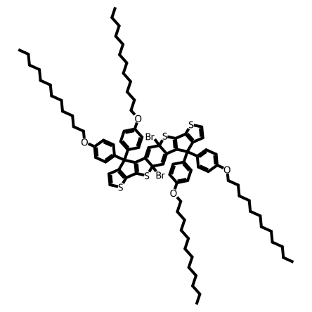 CCCCCCCCCCCCOc1ccc(C2(c3ccc(OCCCCCCCCCCCC)cc3)C3=C(SC4(Br)C=C5C6=C(SC5(Br)C=C34)c3sccc3C6(c3ccc(OCCCCCCCCCCCC)cc3)c3ccc(OCCCCCCCCCCCC)cc3)c3sccc32)cc1